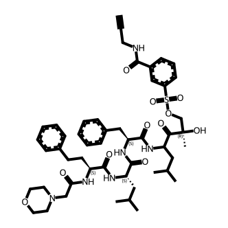 C#CCNC(=O)c1cccc(S(=O)(=O)OC[C@@](C)(O)C(=O)C(CC(C)C)NC(=O)[C@H](Cc2ccccc2)NC(=O)[C@H](CC(C)C)NC(=O)[C@H](CCc2ccccc2)NC(=O)CN2CCOCC2)c1